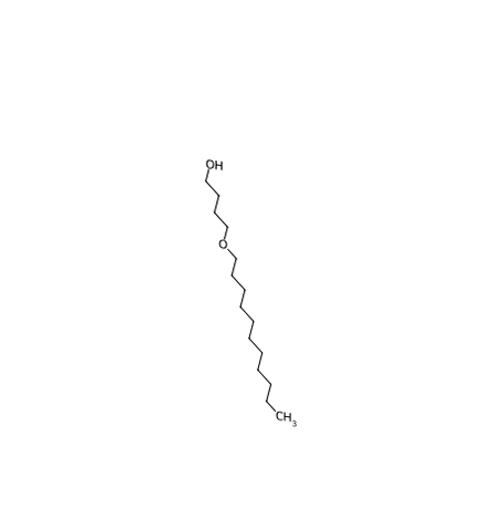 CCCCCCCCCCCOCCCCO